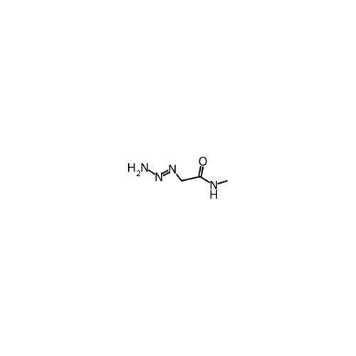 CNC(=O)CN=NN